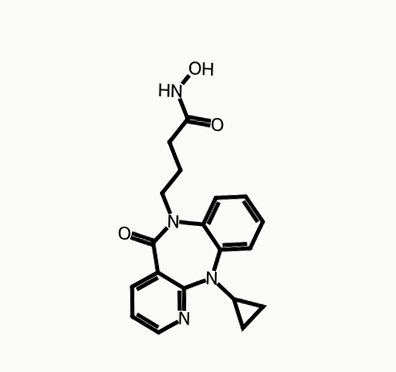 O=C(CCCN1C(=O)c2cccnc2N(C2CC2)c2ccccc21)NO